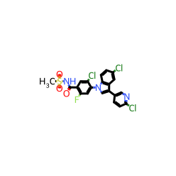 CS(=O)(=O)NC(=O)c1cc(Cl)c(-n2cc(-c3ccc(Cl)nc3)c3cc(Cl)ccc32)cc1F